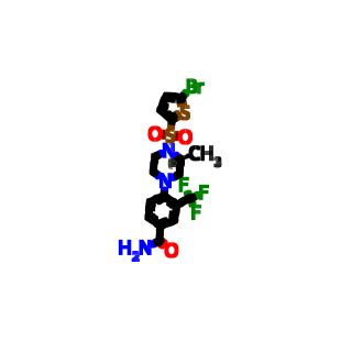 C[C@@H]1CN(c2ccc(C(N)=O)cc2C(F)(F)F)CCN1S(=O)(=O)c1ccc(Br)s1